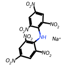 O=[N+]([O-])c1cc([N+](=O)[O-])c(Nc2c([N+](=O)[O-])cc([N+](=O)[O-])cc2[N+](=O)[O-])c([N+](=O)[O-])c1.[Na+]